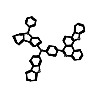 c1ccc(-n2c3ccccc3c3cc(N(c4ccc(-c5nc6ccccc6c6c5ccc5c7ccccc7oc56)cc4)c4ccc5c(c4)sc4ccccc45)ccc32)cc1